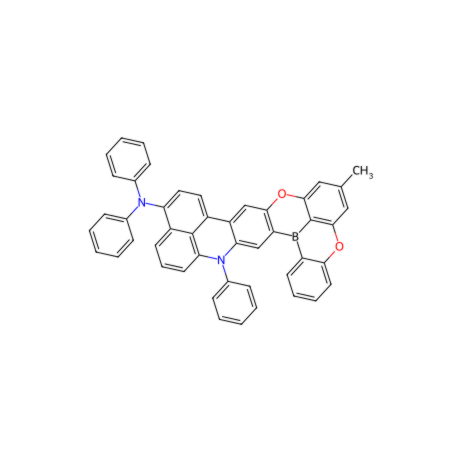 Cc1cc2c3c(c1)Oc1cc4c(cc1B3c1ccccc1O2)N(c1ccccc1)c1cccc2c(N(c3ccccc3)c3ccccc3)ccc-4c12